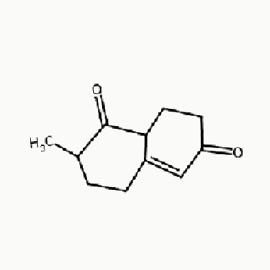 CC1CCC2=CC(=O)CCC2C1=O